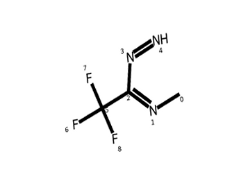 C/N=C(\N=N)C(F)(F)F